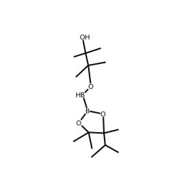 CC(C)C1(C)OB(BOC(C)(C)C(C)(C)O)OC1(C)C